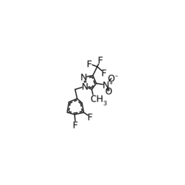 Cc1c([N+](=O)[O-])c(C(F)(F)F)nn1Cc1ccc(F)c(F)c1